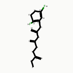 C=C(CC)CCC(=C)CC(=C)CC1=C(F)CCC(F)=C1